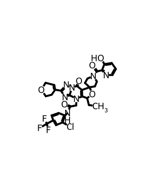 CCC1OC2(CCN(C(=O)c3ncccc3O)CC2)c2c1n(CC(=O)Nc1ccc(C(F)(F)F)cc1Cl)c1nc(C3=CCOCC3)nn1c2=O